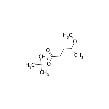 CO[C@H](C)CCC(=O)OC(C)(C)C